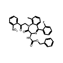 Cc1cccc2c1N(CC(=O)c1ccccc1[N+](=O)[O-])C(=O)C(NC(=O)OCc1ccccc1)N=C2c1ccccc1F